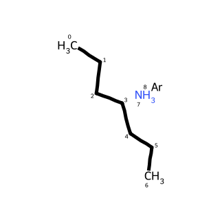 CCCCCCC.N.[Ar]